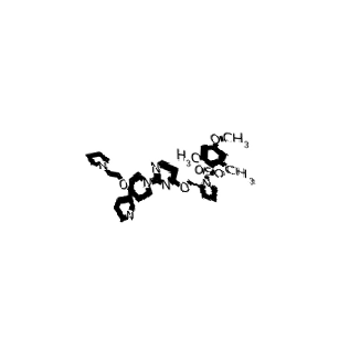 COc1cc(C)c(S(=O)(=O)N2CCC[C@H]2COc2ccnc(N3CCC(OCCN4CCCC4)(c4cccnc4)CC3)n2)c(C)c1